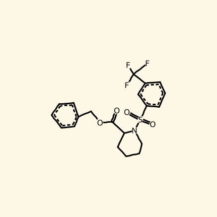 O=C(OCc1ccccc1)C1CCCCN1S(=O)(=O)c1cccc(C(F)(F)F)c1